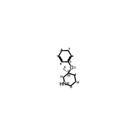 C[C@]1(OC2=CC[CH]C=C2)CCCNC1